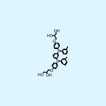 Cc1cccc(N(c2ccc(OCC(O)CO)cc2)c2cccc(N(c3ccc(OCC(O)CO)cc3)c3cccc(C)c3)c2)c1